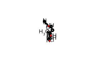 CCn1nc(-c2cccc(-c3cccc(C(=O)NCCCn4ccnc4)c3)c2)cc(NC(=O)Nc2c(Cl)cncc2Cl)c1=O